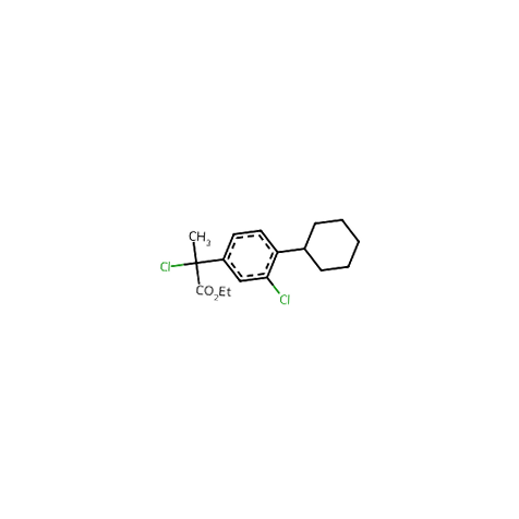 CCOC(=O)C(C)(Cl)c1ccc(C2CCCCC2)c(Cl)c1